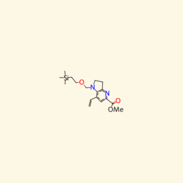 C=Cc1cc(C(=O)OC)nc2c1N(COCC[Si](C)(C)C)CC2